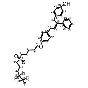 O=S(=O)(CCCCCOc1ccc(C/C=C(\Cc2ccc(O)cc2)c2ccccc2)cc1)CCCC(F)(F)C(F)(F)F